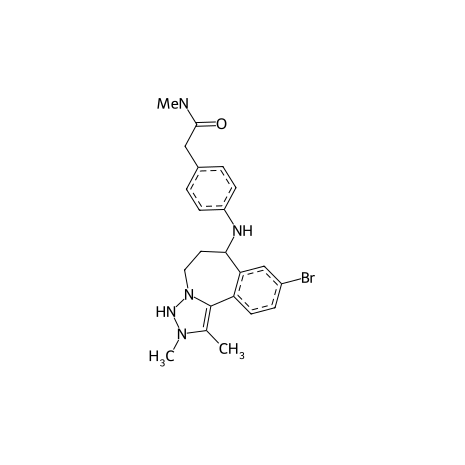 CNC(=O)Cc1ccc(NC2CCN3NN(C)C(C)=C3c3ccc(Br)cc32)cc1